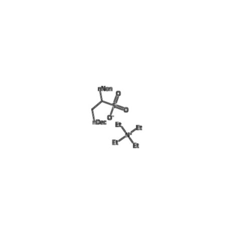 CCCCCCCCCCCC(CCCCCCCCC)S(=O)(=O)[O-].CC[N+](CC)(CC)CC